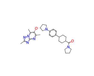 Cc1nc2nc(C)c(O[C@@H]3CCN(c4ccc(C5CCC(C(=O)N6CCCC6)CC5)cc4)C3)c(C)n2n1